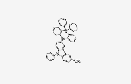 N#Cc1ccc2c(c1)c1cc(N3c4ccccc4S(C4=CCCC=C4)(c4ccccc4)c4ccccc43)ccc1n2-c1ccccc1